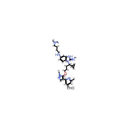 C/N=c1\[nH]c2cc(NCCCCN(C)C)ccc2n1C(CCCOc1c(-c2cc(C=O)cc(C)n2)cnn1C)C1CC1